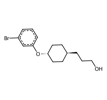 OCCC[C@H]1CC[C@H](Oc2cccc(Br)c2)CC1